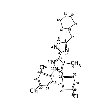 Cc1c(-c2noc(CC3CCCCC3)n2)nn(-c2ccc(Cl)cc2Cl)c1-c1ccc(Cl)cc1